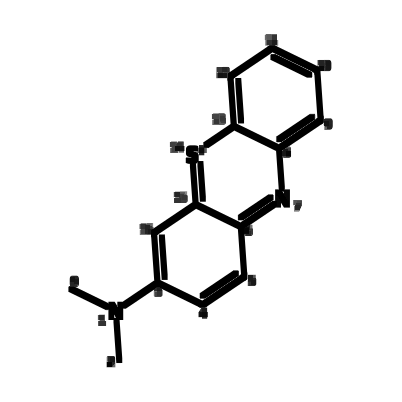 CN(C)c1ccc2nc3ccccc3[s+]c2c1